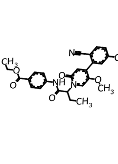 CCOC(=O)c1ccc(NC(=O)C(CC)n2cc(OC)c(-c3cc(Cl)ccc3C#N)cc2=O)cc1